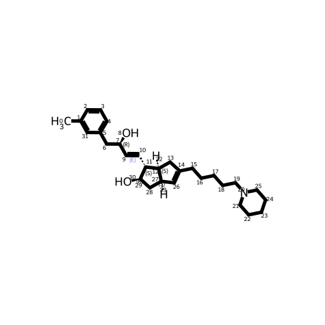 Cc1cccc(C[C@@H](O)/C=C/[C@@H]2[C@H]3CC(CCCCCN4CCCCC4)=C[C@H]3C[C@H]2O)c1